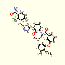 Cc1c(Cl)cccc1Oc1cccc(C(=O)N2CCCOc3c(-c4cnn(Cc5c(F)ccc(C(N)=O)c5Cl)c4)cccc32)c1